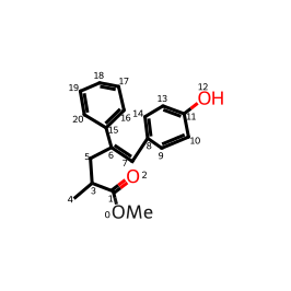 COC(=O)C(C)CC(=Cc1ccc(O)cc1)c1ccccc1